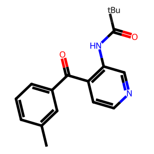 Cc1cccc(C(=O)c2ccncc2NC(=O)C(C)(C)C)c1